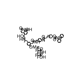 COc1ccc(CC(C)NC[C@H](O)c2ccc(O)c3[nH]c(=O)ccc23)cc1CC(=O)NCc1ccc(N(C)C(=O)CCN2CCC(OC(=O)Nc3ccccc3-c3ccccc3)CC2)cc1.O=C(O)C(F)(F)F.O=C(O)C(F)(F)F